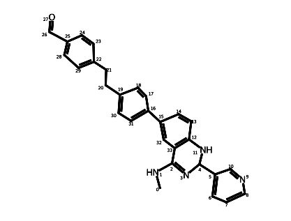 CNC1=NC(c2cccnc2)Nc2ccc(-c3ccc(CCc4ccc(C=O)cc4)cc3)cc21